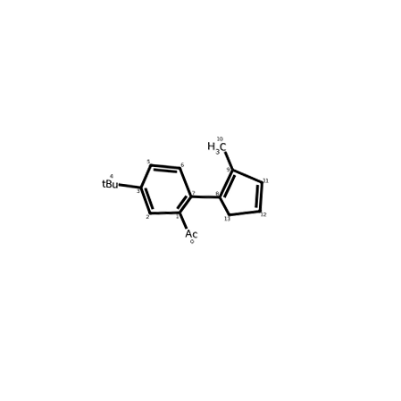 CC(=O)c1cc(C(C)(C)C)ccc1C1=C(C)C=CC1